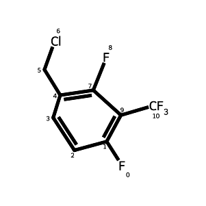 Fc1ccc(CCl)c(F)c1C(F)(F)F